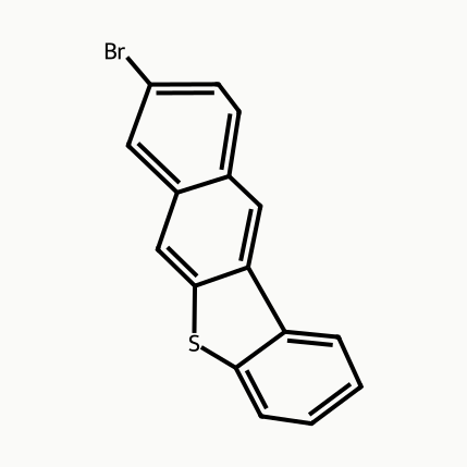 Brc1ccc2cc3c(cc2c1)sc1ccccc13